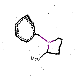 COC1CCCP1c1ccccc1